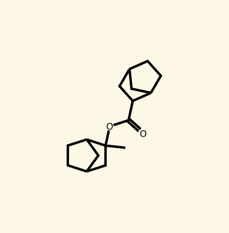 CC1(OC(=O)C2CC3CCC2C3)CC2CCC1C2